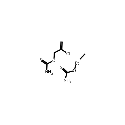 C=C(Cl)COC(N)=S.CC.CCOC(N)=S